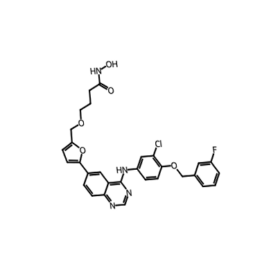 O=C(CCCOCc1ccc(-c2ccc3ncnc(Nc4ccc(OCc5cccc(F)c5)c(Cl)c4)c3c2)o1)NO